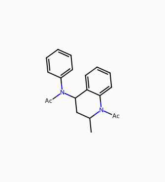 CC(=O)N1c2ccccc2C(N(C(C)=O)c2ccccc2)CC1C